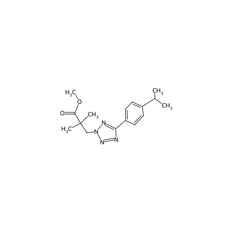 COC(=O)C(C)(C)Cn1nnc(-c2ccc(C(C)C)cc2)n1